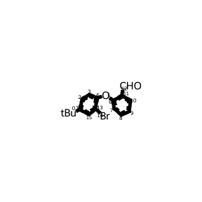 CC(C)(C)c1ccc(Oc2ccccc2C=O)c(Br)c1